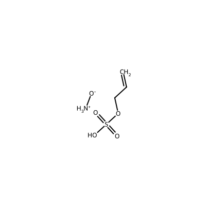 C=CCOS(=O)(=O)O.[NH3+][O-]